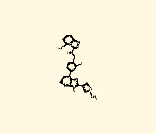 Cc1cccc2nnc(NCc3ccc(-c4ccnc5[nH]c(-c6cnn(C)c6)nc45)cc3F)n12